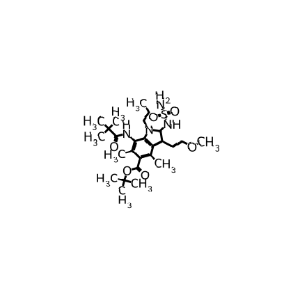 CCCN1c2c(NC(=O)C(C)(C)C)c(C)c(C(=O)OC(C)(C)C)c(C)c2C(CCOC)C1NS(N)(=O)=O